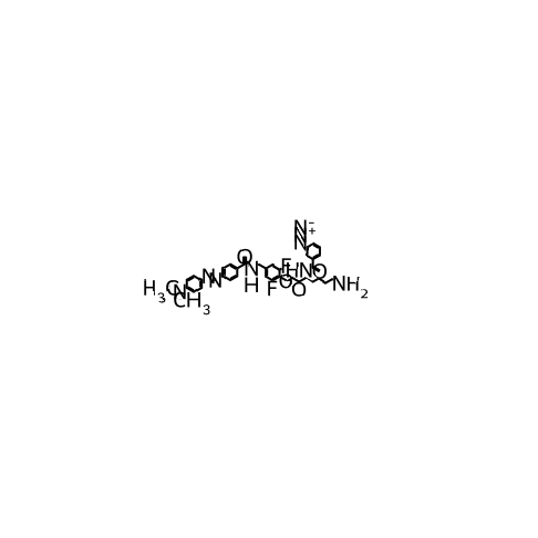 CN(C)c1ccc(/N=N/c2ccc(C(=O)NCc3cc(F)c(OCC(=O)[C@H](CCCCN)NC(=O)c4cccc(N=[N+]=[N-])c4)c(F)c3)cc2)cc1